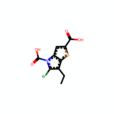 CCc1c(Br)n(C(=O)O)c2cc(C(=O)O)sc12